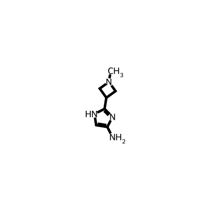 CN1CC(c2nc(N)c[nH]2)C1